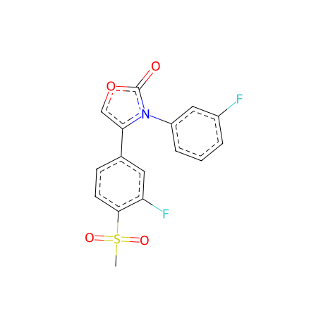 CS(=O)(=O)c1ccc(-c2coc(=O)n2-c2cccc(F)c2)cc1F